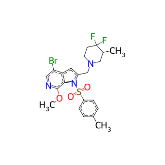 COc1ncc(Br)c2cc(CN3CCC(F)(F)C(C)C3)n(S(=O)(=O)c3ccc(C)cc3)c12